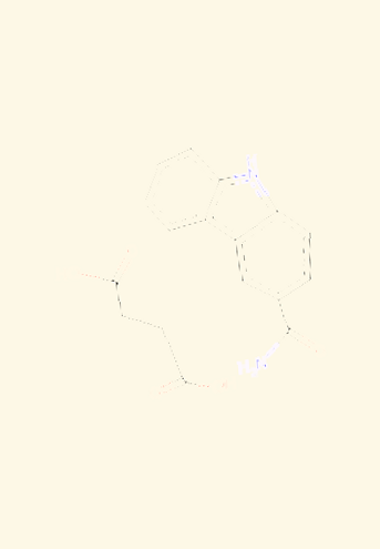 NC(=O)c1ccc2[nH]c3ccccc3c2c1.O=C(O)CCC(=O)O